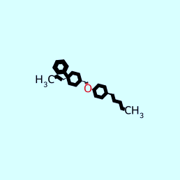 CCCCC[C@H]1CC[C@H](OC[C@H]2CC[C@](CCC)(c3ccccc3)CC2)CC1